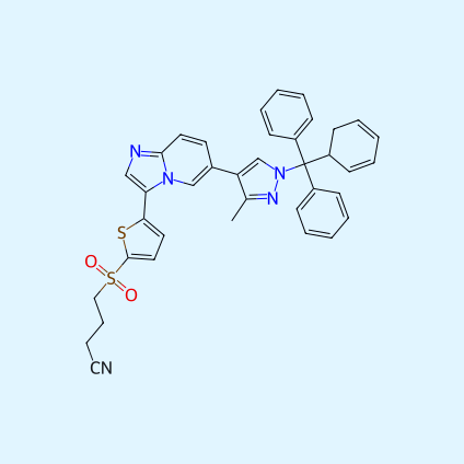 Cc1nn(C(c2ccccc2)(c2ccccc2)C2C=CC=CC2)cc1-c1ccc2ncc(-c3ccc(S(=O)(=O)CCCC#N)s3)n2c1